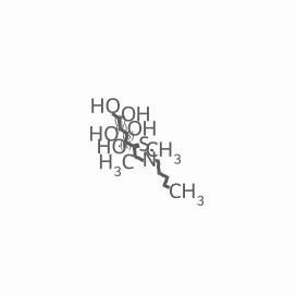 CCCCCN(C)CC(C)C(=S)[C@H](O)[C@@H](O)[C@H](O)[C@H](O)CO